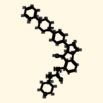 O=C(Nc1cccc2c1C(=O)C1=C(c3ccc(N4CCN(c5ccccn5)CC4)cc3)N=NC12)NN1CCOCC1